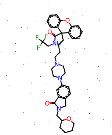 O=C1c2cc(N3CCN(CCCCC4(C(=O)NCC(F)(F)F)c5ccccc5Oc5ccccc54)CC3)ccc2CN1CC1CCCCO1